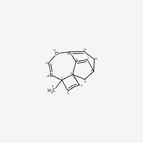 CC12C=CC13CC1C=C3C(=CC1)OC=N2